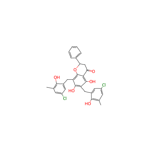 Cc1cc(Cl)cc(Cc2c(O)c(Cc3cc(Cl)cc(C)c3O)c3c(c2O)C(=O)CC(c2ccccc2)O3)c1O